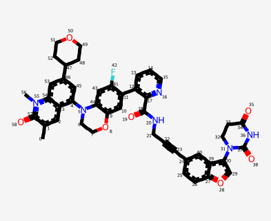 Cc1cc2c(N3CCOc4cc(-c5cccnc5C(=O)NCC#Cc5ccc6occ(N7CCC(=O)NC7=O)c6c5)c(F)cc43)cc(C3CCOCC3)cc2n(C)c1=O